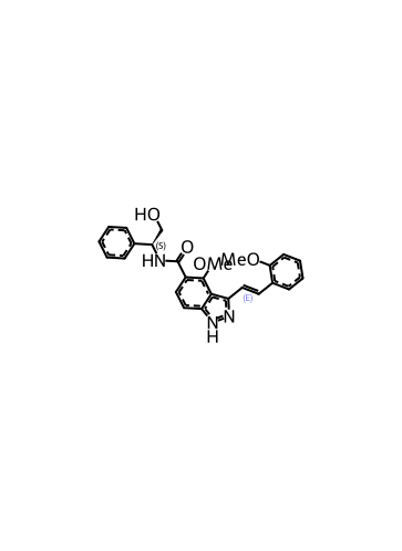 COc1ccccc1/C=C/c1n[nH]c2ccc(C(=O)N[C@H](CO)c3ccccc3)c(OC)c12